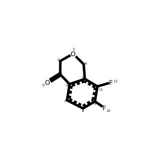 O=C1COCc2c1ccc(F)c2F